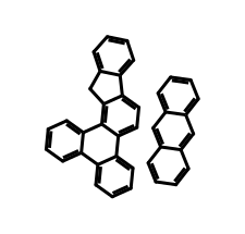 c1ccc2c(c1)Cc1c-2ccc2c3ccccc3c3ccccc3c12.c1ccc2cc3ccccc3cc2c1